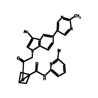 CC(=O)c1cn(CC(=O)N2CC3CC2(C(=O)Nc2cccc(Br)n2)C3)c2ccc(-c3cnc(C)nc3)cc12